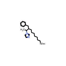 CCCCCCCCCCCCCCCCCC(Cc1ccccc1)C(C)n1ccnc1